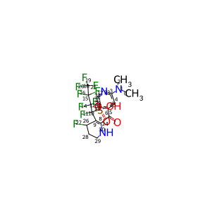 CN(C)c1cc(C(=O)C2=C(C(F)(C(F)(F)C(F)(F)C(F)(F)F)S(=O)(=O)O)C(F)CCN2)ccn1